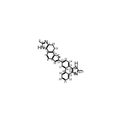 Cc1nc2c([nH]1)-c1ccc3cc(-c4ccc5c(c4)c4ccccc4c4nc(C)[nH]c54)sc3c1CC2